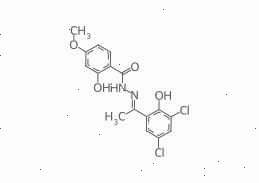 COc1ccc(C(=O)N/N=C(\C)c2cc(Cl)cc(Cl)c2O)c(O)c1